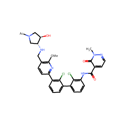 COc1nc(-c2cccc(-c3cccc(NC(=O)c4ccnn(C)c4=O)c3Cl)c2Cl)ccc1CN[C@@H]1CN(C(C)=O)C[C@H]1O